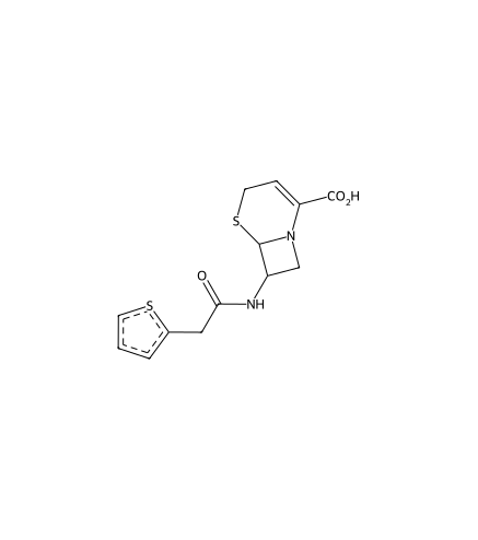 O=C(Cc1cccs1)NC1CN2C(C(=O)O)=CCSC12